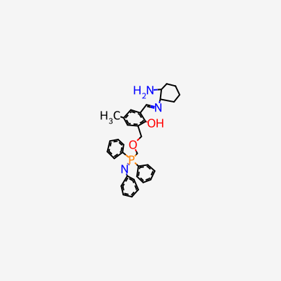 Cc1cc(/C=N/C2CCCCC2N)c(O)c(COCP(=Nc2ccccc2)(c2ccccc2)c2ccccc2)c1